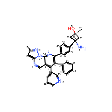 Cc1cc2ncc3c(-c4cccnc4)c(-c4ccccc4)c(-c4ccc([C@]5(N)C[C@@](C)(O)C5)cc4)nc3n2n1